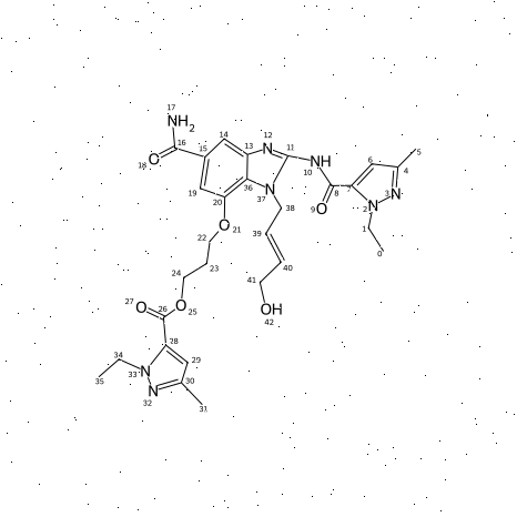 CCn1nc(C)cc1C(=O)Nc1nc2cc(C(N)=O)cc(OCCCOC(=O)c3cc(C)nn3CC)c2n1CC=CCO